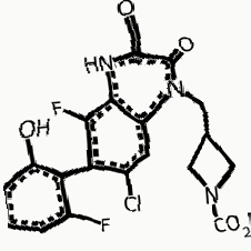 O=C(O)N1CC(Cn2c(=O)c(=O)[nH]c3c(F)c(-c4c(O)cccc4F)c(Cl)cc32)C1